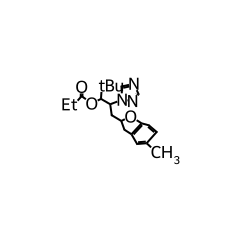 CCC(=O)OC(C(CC1Cc2cc(C)ccc2O1)n1cncn1)C(C)(C)C